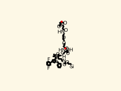 CC(C)(C)C(c1cc(-c2cc(F)ccc2F)cn1Cc1ccccc1)N(CCCNC(=O)OCC[Si](C)(C)C)C(=O)CSCC(NC(=O)CCOCCOCCNC(=O)CCN1C(=O)C=CC1=O)C(=O)O